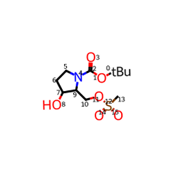 CC(C)(C)OC(=O)N1CCC(O)C1COS(C)(=O)=O